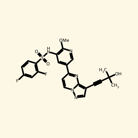 COc1ncc(-c2ccn3ncc(C#CC(C)(C)O)c3n2)cc1NS(=O)(=O)c1ccc(F)cc1F